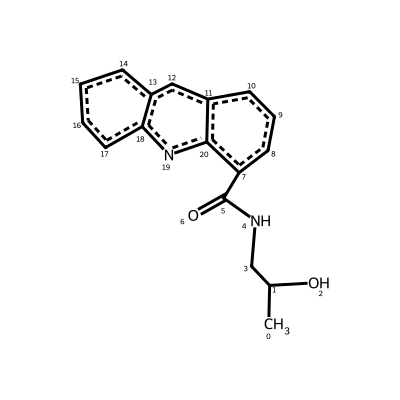 CC(O)CNC(=O)c1cccc2cc3ccccc3nc12